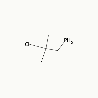 CC(C)(Cl)CP